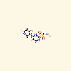 CS(=O)(=O)c1nccc(-c2cccnc2)n1